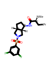 CN[C@@H](CC(C)C)C(=O)N[C@@H]1CC[C@H]2CN(S(=O)(=O)c3cc(F)cc(F)c3)C[C@H]21